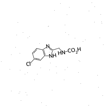 O=C(O)NCc1nc2ccc(Cl)cc2[nH]1